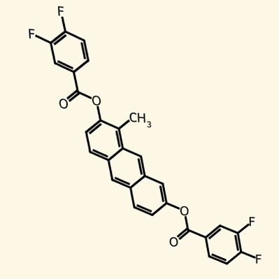 Cc1c(OC(=O)c2ccc(F)c(F)c2)ccc2cc3ccc(OC(=O)c4ccc(F)c(F)c4)cc3cc12